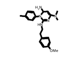 COc1ccc(CCNC2=NC(N(C)C)=CC(N)N2c2ccc(C)cc2)cc1